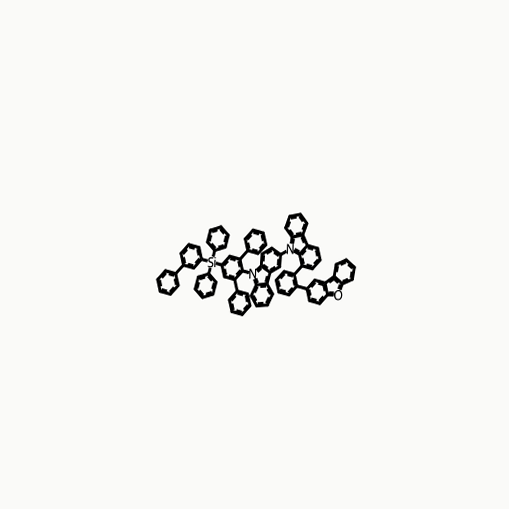 c1ccc(-c2cccc([Si](c3ccccc3)(c3ccccc3)c3cc(-c4ccccc4)c(-n4c5ccccc5c5cc(-n6c7ccccc7c7cccc(-c8ccccc8-c8ccc9oc%10ccccc%10c9c8)c76)ccc54)c(-c4ccccc4)c3)c2)cc1